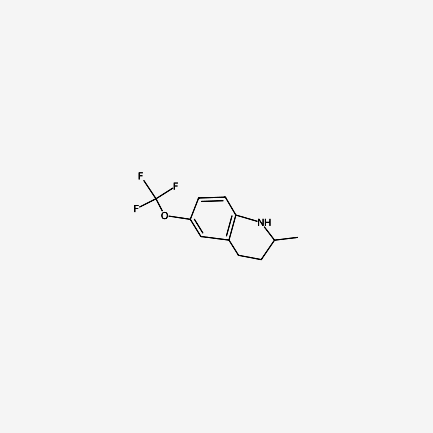 CC1CCc2cc(OC(F)(F)F)ccc2N1